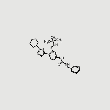 CC(C)(C)NSc1cc(NC(=O)NCc2cccnc2)ccc1-c1cnc(C2CCCCC2)s1